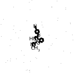 Cn1cc(COc2ccccc2-c2n[nH]cc2Oc2ccc(C#N)cc2)cn1